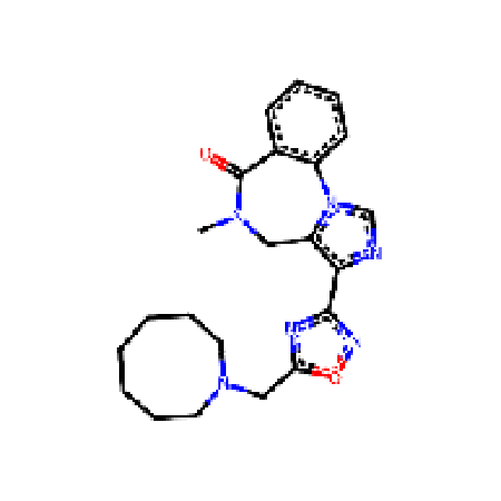 CN1Cc2c(-c3noc(CN4CCCCCCC4)n3)ncn2-c2ccccc2C1=O